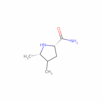 CC1C[C@@H](C(N)=O)N[C@H]1C